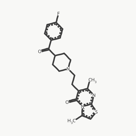 Cc1nc2scc(C)n2c(=O)c1CCN1CCC(C(=O)c2ccc(F)cc2)CC1